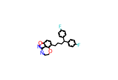 Fc1ccc(C(CCCc2ccc3onc4c3c2OCC=N4)c2ccc(F)cc2)cc1